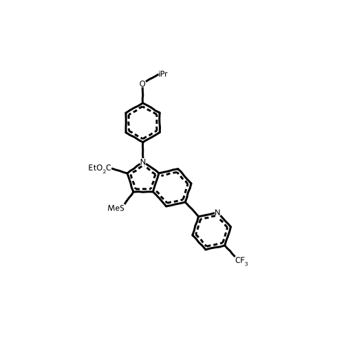 CCOC(=O)c1c(SC)c2cc(-c3ccc(C(F)(F)F)cn3)ccc2n1-c1ccc(OC(C)C)cc1